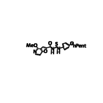 CCCCCOc1ccc(NC(=S)NC(=O)c2cc3c(OC)nccc3o2)cc1